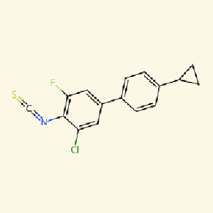 Fc1cc(-c2ccc(C3CC3)cc2)cc(Cl)c1N=C=S